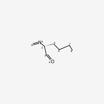 C=N[C@@H](C=O)CCCC